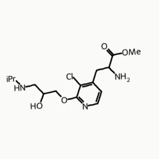 COC(=O)C(N)Cc1ccnc(OCC(O)CNC(C)C)c1Cl